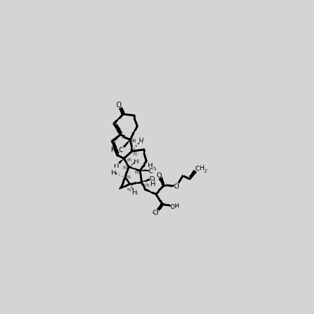 C=CCOC(=O)C(C[C@]1(O)[C@H]2C[C@H]2[C@H]2[C@@H]3C=CC4=CC(=O)CC[C@]4(C)[C@H]3CC[C@@]21C)C(=O)O